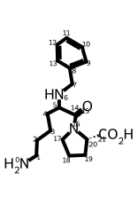 NCCCCC(NCc1ccccc1)C(=O)N1CCC[C@H]1C(=O)O